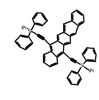 CC(C)[Si](C#Cc1c2ccccc2c(C#C[Si](c2ccccc2)(c2ccccc2)C(C)C)c2cc3cc4ccccc4cc3cc12)(c1ccccc1)c1ccccc1